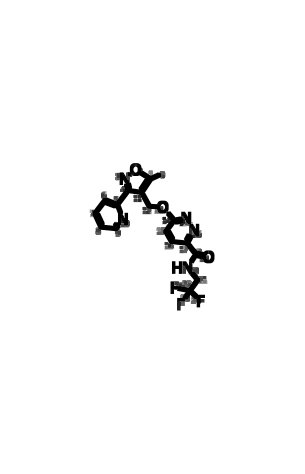 Cc1onc(-c2ccccn2)c1COc1ccc(C(=O)NCC(F)(F)F)nn1